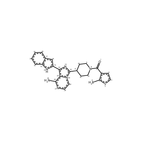 Bc1sccc1C(=O)N1CCC(c2nc(-c3cc4ccccc4[nH]3)c3c(N)nccn23)CC1